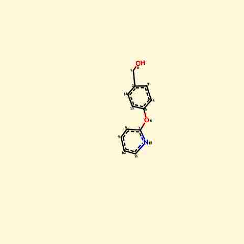 OCc1ccc(Oc2ccccn2)cc1